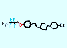 CC[C@H]1CC[C@H]([C@H]2CC[C@H](C=Cc3ccc(OCC(F)(F)C(F)(F)C(F)(F)F)cc3)CC2)CC1